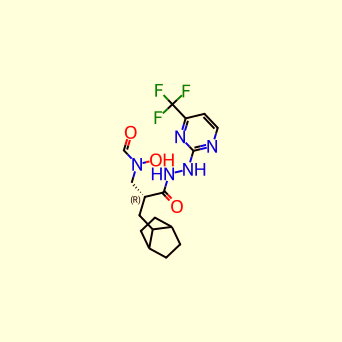 O=CN(O)C[C@@H](CC1C2CCC1CC2)C(=O)NNc1nccc(C(F)(F)F)n1